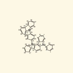 c1ccc(-n2c3ccccc3c3c2ccc2c4ccccc4n(-c4ccc5c(c4)c4cccc6c7ccccc7n5c64)c23)cc1